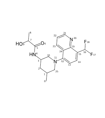 CC1CC(NC(=O)C(C)O)CN(c2ccc(C(F)F)c3ncccc23)C1